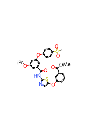 COC(=O)c1cccc(Oc2cnc(NC(=O)c3cc(Oc4ccc(S(C)(=O)=O)cc4)cc(OC(C)C)c3)s2)c1